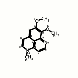 COc1cc2c3c(ccnc3c1OC)N(C)C=C2